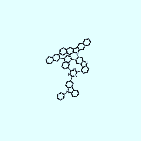 c1ccc(-c2nc(-c3ccc4c(c3)c3ccccc3n4-c3ccccc3)nc(-c3cccc4oc5cc(-n6c7cc8ccccc8cc7c7cc8ccccc8cc76)c(-c6ccc(-c7ccc8ccccc8c7)cc6)cc5c34)n2)cc1